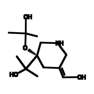 CC(C)(O)O[C@]1(C(C)(C)O)CNC/C(=C\O)C1